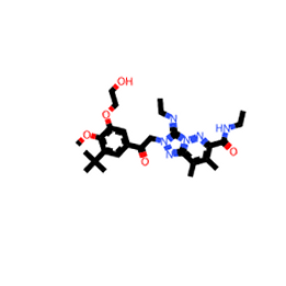 CC/N=c1\n(CC(=O)c2cc(OCCO)c(OC)c(C(C)(C)C)c2)nc2c(C)c(C)c(C(=O)NCC)nn12